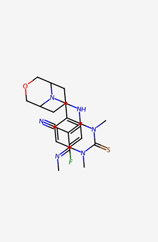 C/N=c1/c(C#N)c(NC2CC3COCC(C2)N3Cc2ccc(F)cc2)n(C)c(=S)n1C